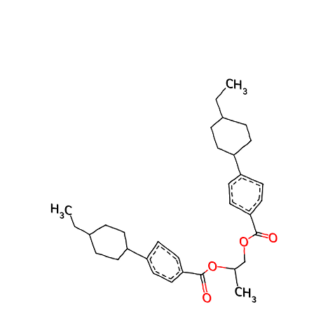 CCC1CCC(c2ccc(C(=O)OCC(C)OC(=O)c3ccc(C4CCC(CC)CC4)cc3)cc2)CC1